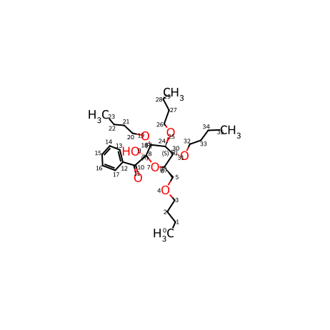 CCCCOC[C@H]1O[C@@](O)(C(=O)c2ccccc2)[C@H](OCCCC)[C@@H](OCCCC)[C@@H]1OCCCC